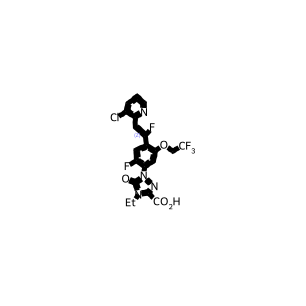 CCn1c(C(=O)O)nn(-c2cc(OCC(F)(F)F)c(/C(F)=C/c3ncccc3Cl)cc2F)c1=O